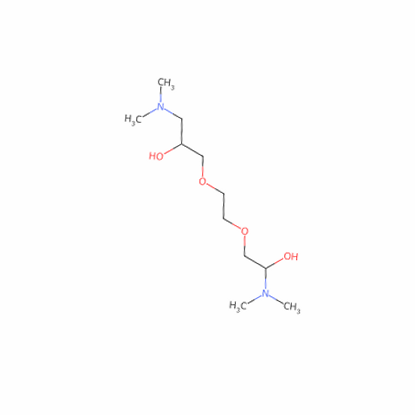 CN(C)CC(O)COCCOCC(O)N(C)C